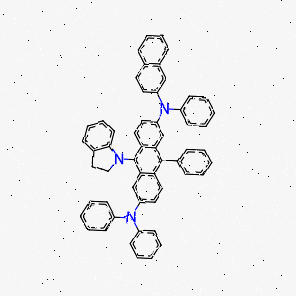 c1ccc(-c2c3cc(N(c4ccccc4)c4ccc5ccccc5c4)ccc3c(N3CCc4ccccc43)c3cc(N(c4ccccc4)c4ccccc4)ccc23)cc1